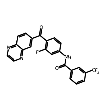 O=C(Nc1ccc(C(=O)c2ccc3nccnc3c2)c(F)c1)c1cccc(C(F)(F)F)c1